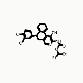 CCC(CC)OC(=O)Nc1ncc2c(c1C#N)-c1ccccc1C(c1ccc(Cl)c(Cl)c1)C2